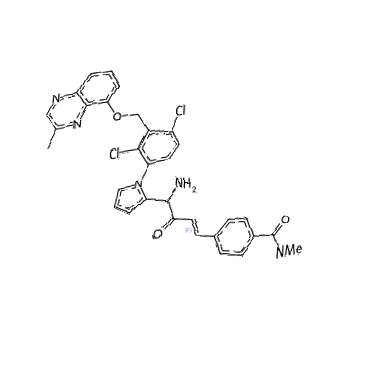 CNC(=O)c1ccc(/C=C/C(=O)C(N)c2cccn2-c2ccc(Cl)c(COc3cccc4ncc(C)nc34)c2Cl)cc1